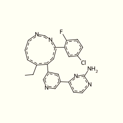 CCc1cccncnc(-c2cc(Cl)ccc2F)cc1-c1cncc(-c2ccnc(N)n2)c1